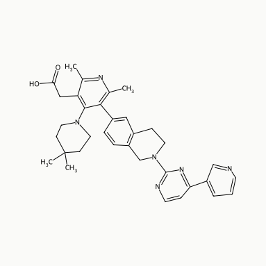 Cc1nc(C)c(-c2ccc3c(c2)CCN(c2nccc(-c4cccnc4)n2)C3)c(N2CCC(C)(C)CC2)c1CC(=O)O